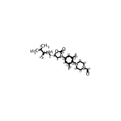 CC(C)C(=S)NC[C@H]1CN(c2cc(F)c(N3CCN(C=O)CC3)c(F)c2)C(=O)O1